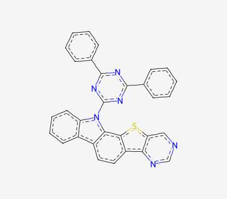 c1ccc(-c2nc(-c3ccccc3)nc(-n3c4ccccc4c4ccc5c6ncncc6sc5c43)n2)cc1